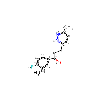 Cc1ccc(CCC(=O)c2ccc(F)c(C)c2)nn1